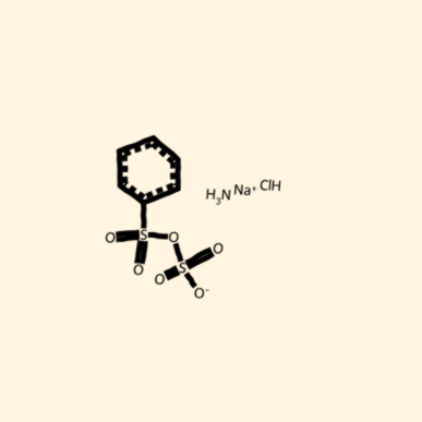 Cl.N.O=S(=O)([O-])OS(=O)(=O)c1ccccc1.[Na+]